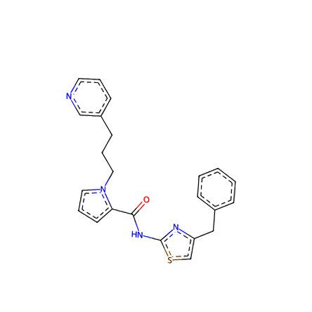 O=C(Nc1nc(Cc2ccccc2)cs1)c1cccn1CCCc1cccnc1